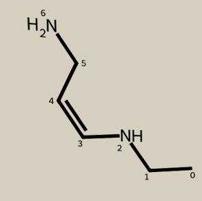 CCN/C=C\CN